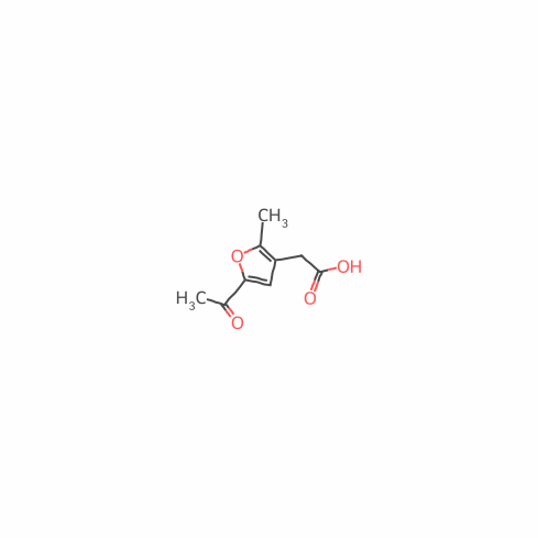 CC(=O)c1cc(CC(=O)O)c(C)o1